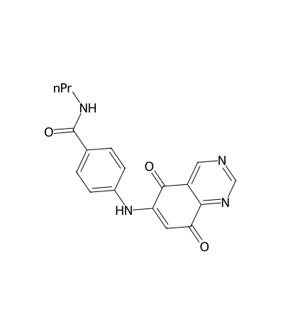 [CH2]CCNC(=O)c1ccc(NC2=CC(=O)c3ncncc3C2=O)cc1